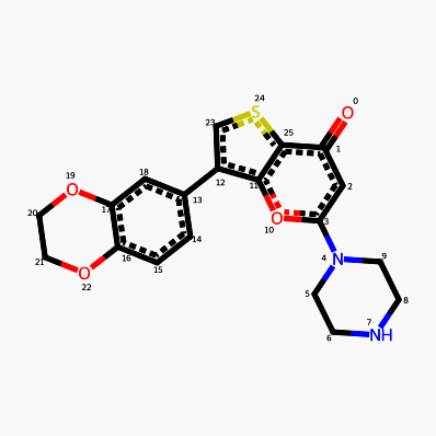 O=c1cc(N2CCNCC2)oc2c(-c3ccc4c(c3)OCCO4)csc12